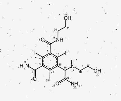 NC(=O)c1c(I)c(C(=O)NCCO)c(I)c(C(NCCO)C(N)=O)c1I